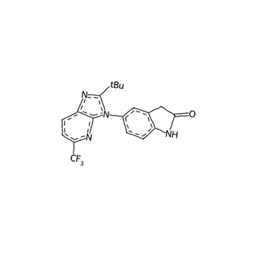 CC(C)(C)c1nc2ccc(C(F)(F)F)nc2n1-c1ccc2c(c1)CC(=O)N2